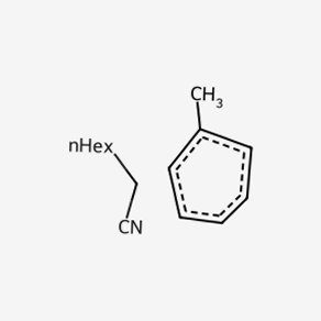 CCCCCCCC#N.Cc1ccccc1